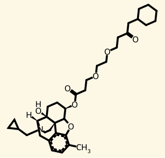 Cc1ccc2c3c1OC1[C@H](OC(=O)CCOCCOCCC(=O)CC4CCCCC4)CC[C@@]4(O)[C@@H](C2)N(CC2CC2)CC[C@]314